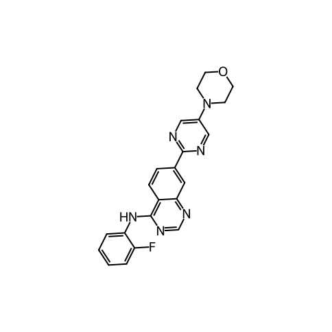 Fc1ccccc1Nc1ncnc2cc(-c3ncc(N4CCOCC4)cn3)ccc12